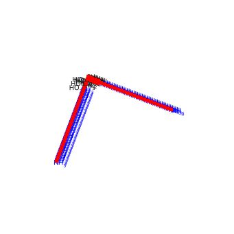 CC(=O)O.CC(=O)O.CC(=O)O.CC(=O)O.CC(=O)O.CC(=O)O.CC(=O)O.CC(=O)O.CC(=O)O.CC(=O)O.N.N.N.N.N.N.N.N.N.N.N.N.N.N.N.N.N.N.N.N.N.N.N.N.N.N.N.N.N.N.N.N.N.N.N.N.N.N.N.N.N.N.N.N.N.N.N.N.N.N.N.N.N.N.N.N.N.N.N.N.N.N.N.N.N.N.N.N.N.N.N.N.N.N.N.N.N.N.N.N.N.N.N.N.N.N.N.N.N.N